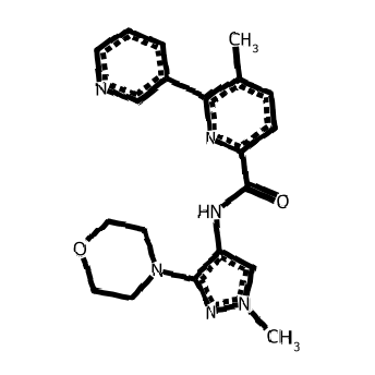 Cc1ccc(C(=O)Nc2cn(C)nc2N2CCOCC2)nc1-c1cccnc1